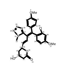 COc1ccc(C(=C(C=C[C@@H]2C[C@@H](O)CC(=O)O2)c2nnnn2C)c2ccc(OC)cc2Cl)cc1